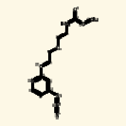 CC(C)(C)OC(=O)NCCOCCOc1cc(N=[N+]=[N-])ccn1